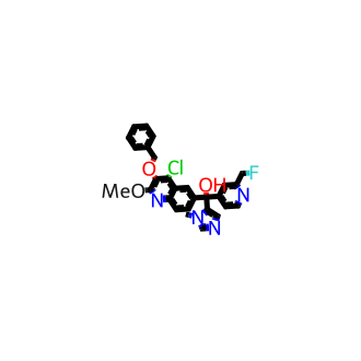 COc1nc2ccc(C(O)(c3ccnc(CF)c3)c3cncn3C)cc2c(Cl)c1OCc1ccccc1